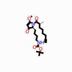 C#CCCCC[C@@H](C)C(=O)N1C(OC)=CC(=O)[C@@H]1CCCCNC(=O)OC(C)(C)C